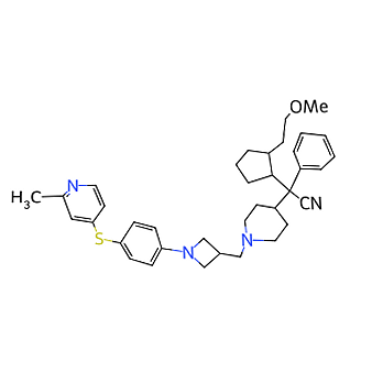 COCCC1CCCC1C(C#N)(c1ccccc1)C1CCN(CC2CN(c3ccc(Sc4ccnc(C)c4)cc3)C2)CC1